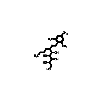 CCCCC(OCc1c(C)cc(C)cc1C)C(O)C(O)C(O)C(O)CO